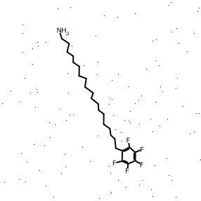 NCCCCCCCCCCCCCCCCCCCc1c(F)c(F)c(F)c(F)c1F